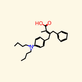 CCCCN(CCCC)c1ccc(CC(Cc2ccccc2)=C(C)C(=O)O)cc1